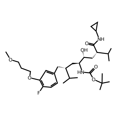 COCCCOc1cc(C[C@H](C[C@H](NC(=O)OC(C)(C)C)[C@H](O)C[C@H](C(=O)NC2CC2)C(C)C)C(C)C)ccc1F